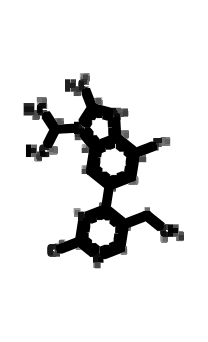 CCc1cnc(Cl)nc1-c1cc(F)c2nc(C)n(C(C)C)c2c1